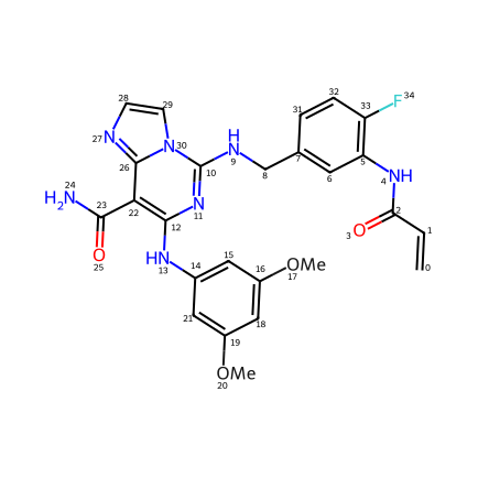 C=CC(=O)Nc1cc(CNc2nc(Nc3cc(OC)cc(OC)c3)c(C(N)=O)c3nccn23)ccc1F